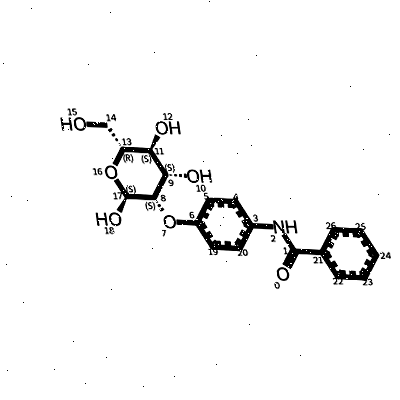 O=C(Nc1ccc(O[C@H]2[C@@H](O)[C@H](O)[C@@H](CO)O[C@@H]2O)cc1)c1ccccc1